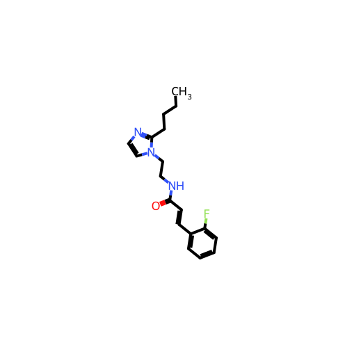 CCCCc1nccn1CCNC(=O)C=Cc1ccccc1F